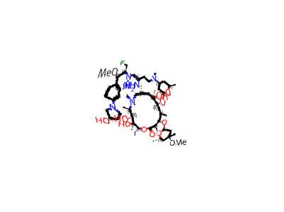 CO[C@H](c1ccc(N2CC[C@@H](O)C2)cc1)[C@@H](CF)N(/C=C(\N)CCN(C)[C@@H]1C[C@H](O[C@@H]2[C@@H](C)[C@H](O[C@H]3C[C@@](C)(OC)C[C@H](C)O3)[C@@H](C)C(=O)O[C@H](I)[C@@](C)(O)[C@H](O)[C@@H](C)N(C)C[C@H](C)C[C@@]2(C)O)O[C@H](C)C1)NI